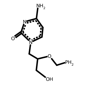 Nc1ccn(CC(CO)OCP)c(=O)n1